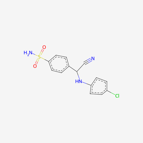 N#CC(Nc1ccc(Cl)cc1)c1ccc(S(N)(=O)=O)cc1